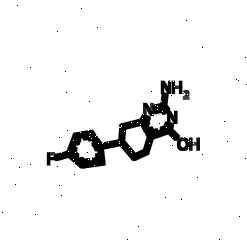 Nc1nc(O)c2c(n1)CC(c1ccc(F)cc1)CC2